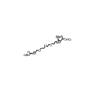 CCCCC(=O)NCCCOCCOCCOCCCNC(=O)CC(C=O)NC